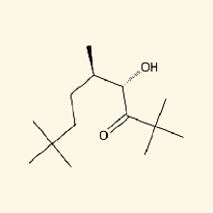 C[C@H](CCC(C)(C)C)[C@H](O)C(=O)C(C)(C)C